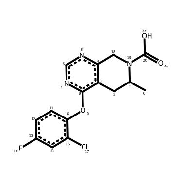 CC1Cc2c(ncnc2Oc2ccc(F)cc2Cl)CN1C(=O)O